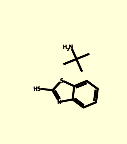 CC(C)(C)N.Sc1nc2ccccc2s1